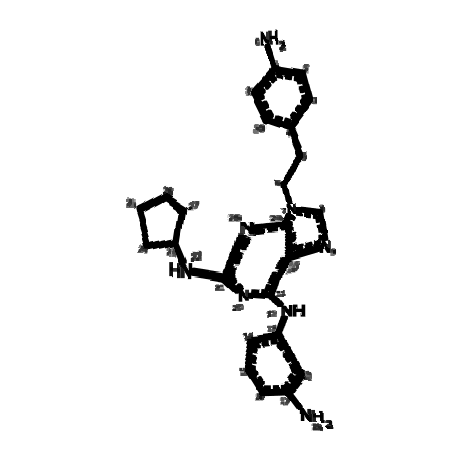 Nc1ccc(CCn2cnc3c(Nc4cccc(N)c4)nc(NC4CCCC4)nc32)cc1